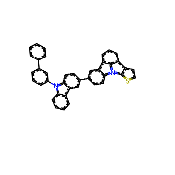 c1ccc(-c2cccc(-n3c4ccccc4c4cc(-c5ccc6c(c5)c5cccc7c8ccsc8n6c57)ccc43)c2)cc1